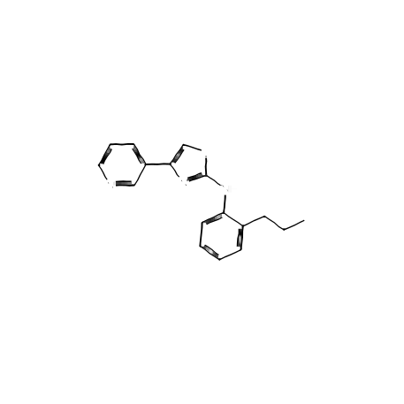 CCCc1ccccc1Nc1nc(-c2cccnc2)cs1